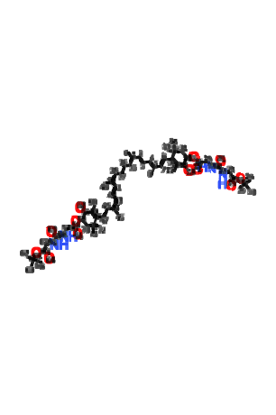 CC(C=CC=C(C)C=CC1=C(C)C(=O)C(OC(=O)CNC(=O)NCC(=O)OC(C)(C)C)CC1(C)C)=CC=CC=C(C)C=CC=C(C)C=CC1=C(C)C(=O)C(OC(=O)CNC(=O)NCC(=O)OC(C)(C)C)CC1(C)C